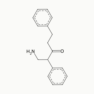 NCC(C(=O)CCc1ccccc1)c1ccccc1